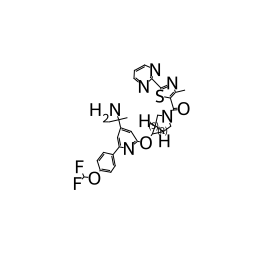 Cc1nc(-c2ncccn2)sc1C(=O)N1C[C@@H]2C(Oc3cc(C(C)(C)N)cc(-c4ccc(OC(F)F)cc4)n3)[C@@H]2C1